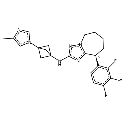 Cc1cn(C23CC(Nc4nc5n(n4)CCCC[C@H]5c4ccc(F)c(F)c4F)(C2)C3)cn1